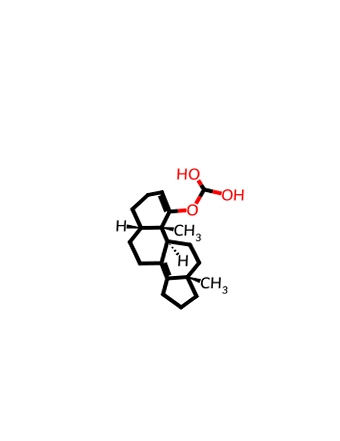 C[C@@]12CCCC1=C1CC[C@@H]3CCC=C(OC(O)O)[C@]3(C)[C@H]1CC2